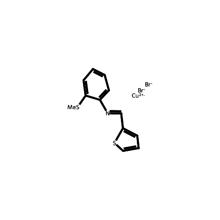 CSc1ccccc1N=Cc1cccs1.[Br-].[Br-].[Cu+2]